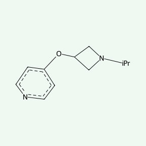 CC(C)N1CC(Oc2ccncc2)C1